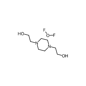 FOF.OCCN1CCN(CCO)CC1